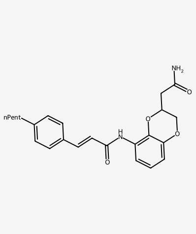 CCCCCc1ccc(C=CC(=O)Nc2cccc3c2OC(CC(N)=O)CO3)cc1